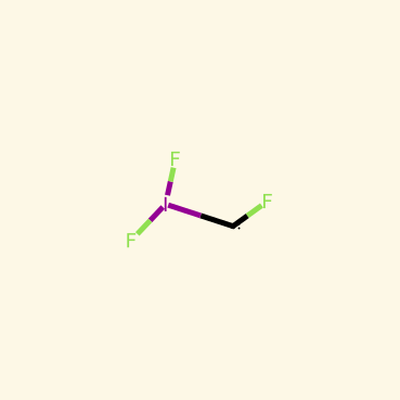 F[C]I(F)F